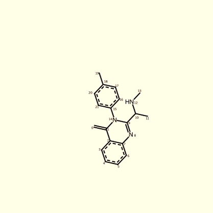 C=C1c2ccccc2N=C(C(C)NC)N1c1ccc(C)cc1